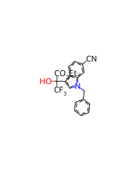 CCOC(=O)C(O)(c1cn(Cc2ccccc2)c2cc(C#N)ccc12)C(F)(F)F